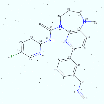 C=NCc1cccc(-c2ccc3c(n2)N(C(=C)NC2CC=C(F)C=N2)CCCN3C)c1